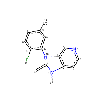 C=C1N(C)c2ccncc2N1c1cc(CC)ccc1F